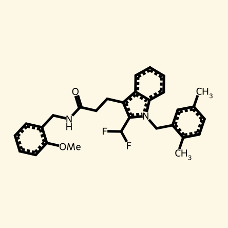 COc1ccccc1CNC(=O)CCc1c(C(F)F)n(Cc2cc(C)ccc2C)c2ccccc12